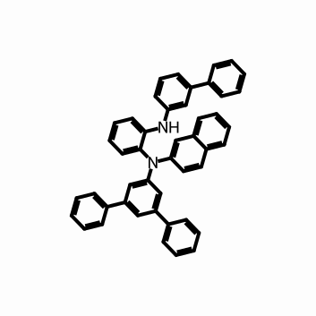 c1ccc(-c2cccc(Nc3ccccc3N(c3cc(-c4ccccc4)cc(-c4ccccc4)c3)c3ccc4ccccc4c3)c2)cc1